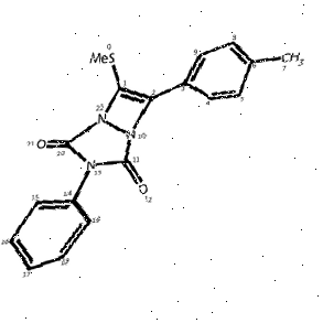 CSc1c(-c2ccc(C)cc2)n2c(=O)n(-c3ccccc3)c(=O)n12